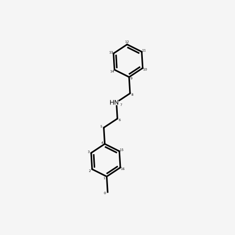 Cc1ccc(CCNCc2ccccc2)cc1